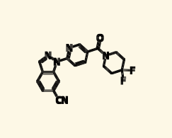 N#Cc1ccc2cnn(-c3ccc(C(=O)N4CCC(F)(F)CC4)cn3)c2c1